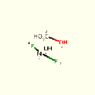 O=C(O)O.[F][Ni][F].[LiH]